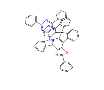 c1ccc(-c2nc(-c3ccccc3)nc(-n3c4ccccc4c4c5nc(-c6ccccc6)oc5c5c(c43)C3(c4ccccc4-c4ccccc43)c3ccccc3-5)n2)cc1